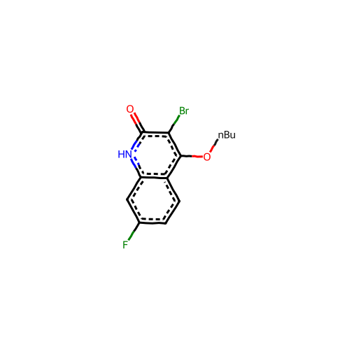 CCCCOc1c(Br)c(=O)[nH]c2cc(F)ccc12